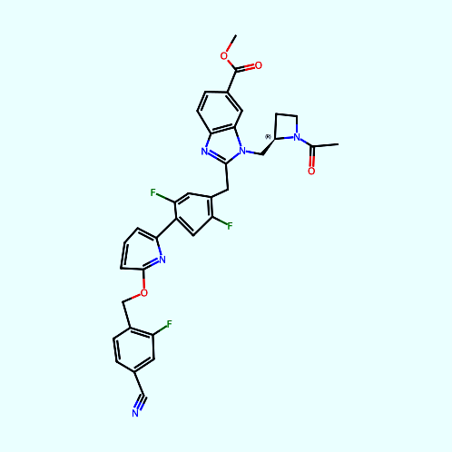 COC(=O)c1ccc2nc(Cc3cc(F)c(-c4cccc(OCc5ccc(C#N)cc5F)n4)cc3F)n(C[C@H]3CCN3C(C)=O)c2c1